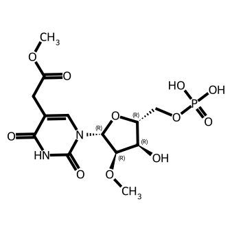 COC(=O)Cc1cn([C@@H]2O[C@H](COP(=O)(O)O)[C@@H](O)[C@H]2OC)c(=O)[nH]c1=O